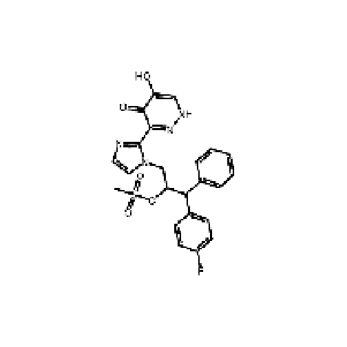 CS(=O)(=O)OC(Cn1ccnc1-c1n[nH]cc(O)c1=O)C(c1ccccc1)c1ccc(F)cc1